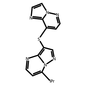 CC(C)c1ccnc2c(Sc3ccnn4ccnc34)cnn12